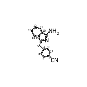 N#Cc1ccc(Cn2nc(N)c3ccccc32)cc1